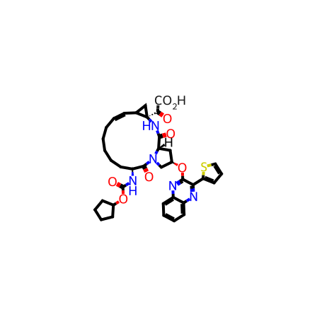 O=C(N[C@H]1CCCCC/C=C\C2C[C@@]2(C(=O)C(=O)O)NC(=O)[C@@H]2C[C@@H](Oc3nc4ccccc4nc3-c3cccs3)CN2C1=O)OC1CCCC1